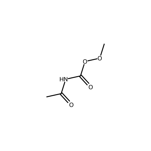 COOC(=O)NC(C)=O